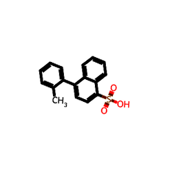 Cc1ccccc1-c1ccc(S(=O)(=O)O)c2ccccc12